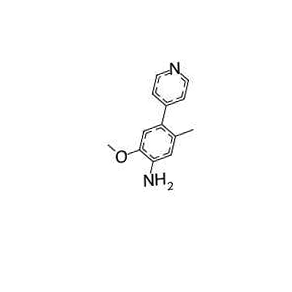 COc1cc(-c2ccncc2)c(C)cc1N